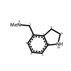 CNCc1cccc2c1CCN2